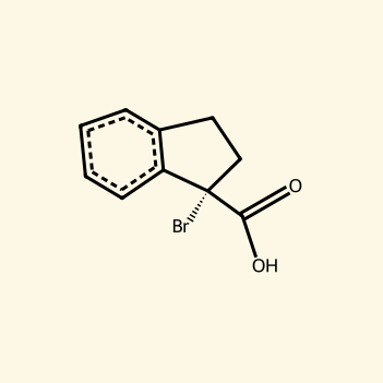 O=C(O)[C@]1(Br)CCc2ccccc21